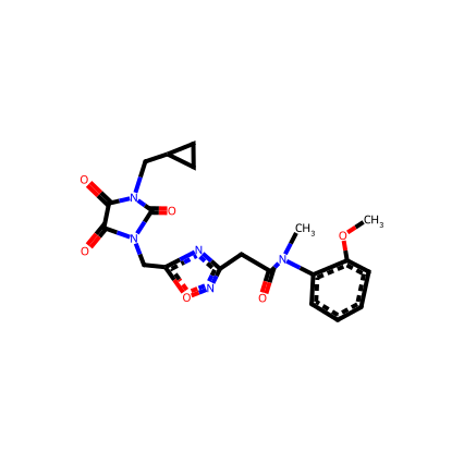 COc1ccccc1N(C)C(=O)Cc1noc(CN2C(=O)C(=O)N(CC3CC3)C2=O)n1